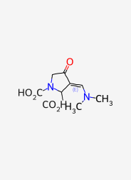 CN(C)/C=C1/C(=O)CN(C(=O)O)C1C(=O)O